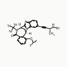 [2H]C([2H])([2H])N1C(=O)c2cccc(OC(F)F)c2[C@H]2C[C@@H]1c1nc3ccc(C#C[C@H](C)NCC)cc3n12